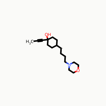 CC#CC1(O)CCC([CH]CCCN2CCOCC2)CC1